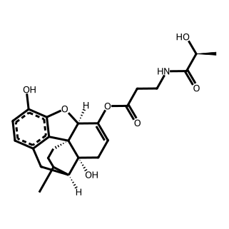 CC1CC[C@]23c4c5ccc(O)c4O[C@H]2C(OC(=O)CCNC(=O)[C@H](C)O)=CC[C@@]3(O)[C@H]1C5